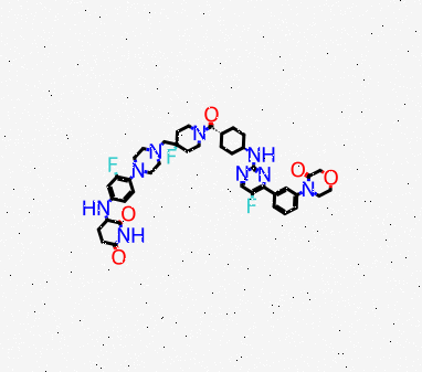 O=C1CCC(Nc2ccc(N3CCN(CC4(F)CCN(C(=O)[C@H]5CC[C@H](Nc6ncc(F)c(-c7cccc(N8CCOCC8=O)c7)n6)CC5)CC4)CC3)c(F)c2)C(=O)N1